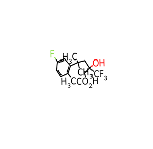 Cc1ccc(F)cc1C(C)(C)CC(O)(CC(=O)O)C(F)(F)F